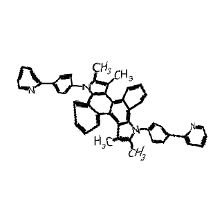 Cc1c(C)n(-c2ccc(-c3ccccn3)cc2)c2c3ccccc3c3c4c(C)c(C)n(-c5ccc(-c6ccccn6)cc5)c4c4ccccc4c3c12